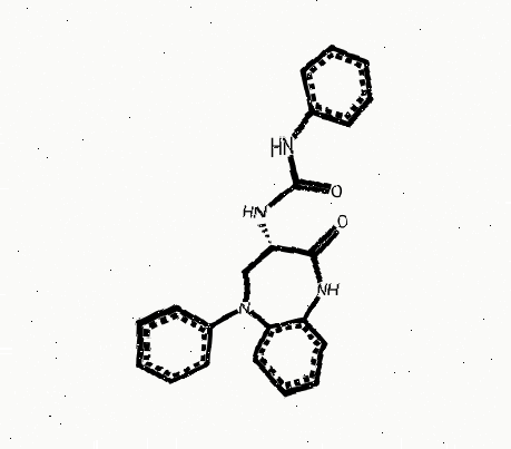 O=C(Nc1ccccc1)N[C@H]1CN(c2ccccc2)c2ccccc2NC1=O